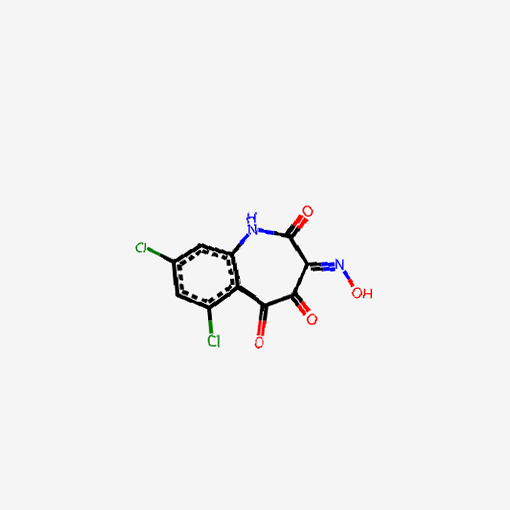 O=C1Nc2cc(Cl)cc(Cl)c2C(=O)C(=O)C1=NO